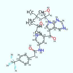 C[SiH](C)OC(C(C)(C)C)C1(n2cc(C(=O)c3cncc(NC(=O)Cc4ccc(C(F)(F)F)cc4)c3)c3cncnc32)COC1